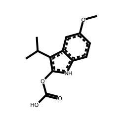 COc1ccc2[nH]c(OC(=O)O)c(C(C)C)c2c1